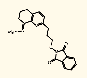 CON=C1CCCc2ccc(CCCON3C(=O)c4ccccc4C3=O)nc21